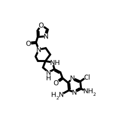 Nc1nc(N)c(C(=O)/C=C2\NCC3(CCN(C(=O)c4cocn4)CC3)N2)nc1Cl